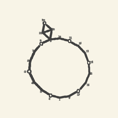 C1COCCOCCOC2(COCCOCCO1)C1OC12